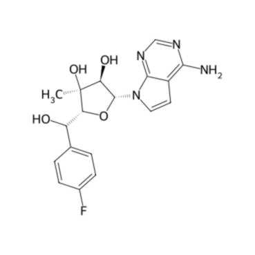 C[C@@]1(O)[C@@H](C(O)c2ccc(F)cc2)O[C@@H](n2ccc3c(N)ncnc32)[C@@H]1O